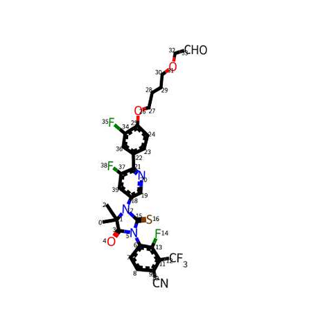 CC1(C)C(=O)N(c2ccc(C#N)c(C(F)(F)F)c2F)C(=S)N1c1cnc(-c2ccc(OCCCCOCC=O)c(F)c2)c(F)c1